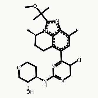 COC(C)(C)c1nc2c(F)cc(C3=NC(N[C@@H]4CCOC[C@H]4O)=NCC3Cl)c3c2n1[C@H](C)CC3